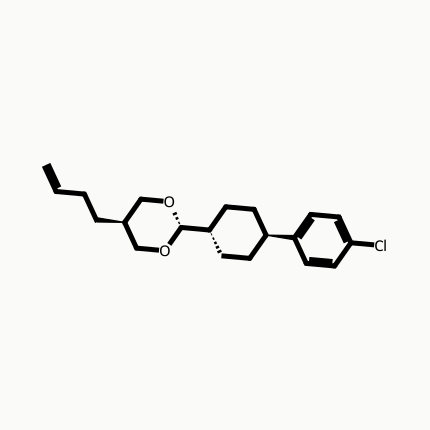 C=CCC[C@H]1CO[C@H]([C@H]2CC[C@H](c3ccc(Cl)cc3)CC2)OC1